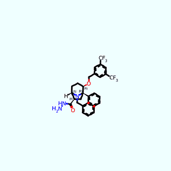 NNC(=O)[C@@H]1C[C@@]2(c3ccccc3)[C@H](OCc3cc(C(F)(F)F)cc(C(F)(F)F)c3)CC[C@@H]1N2Cc1ccccc1